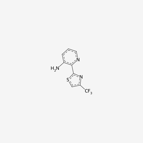 Nc1cccnc1-c1nc(C(F)(F)F)cs1